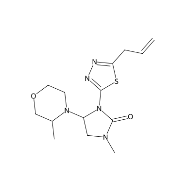 C=CCc1nnc(N2C(=O)N(C)CC2N2CCOCC2C)s1